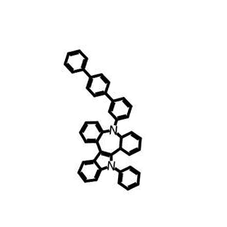 C1=CC2c3c(c4ccccc4n3-c3ccccc3)-c3ccccc3N(c3cccc(-c4ccc(-c5ccccc5)cc4)c3)C2C=C1